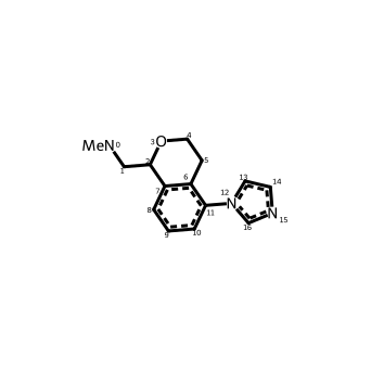 CNCC1OCCc2c1cccc2-n1ccnc1